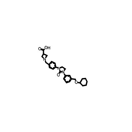 O=C(O)C1CN(Cc2ccc(N3CCN(c4cccc(COC5CCCCC5)c4)C3=O)cc2)C1